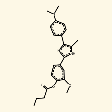 CCCC(=O)Oc1ccc(-c2nc(-c3ccc(N(C)C)cc3)c(C)[nH]2)cc1OC